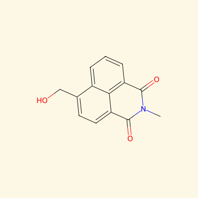 CN1C(=O)c2cccc3c(CO)ccc(c23)C1=O